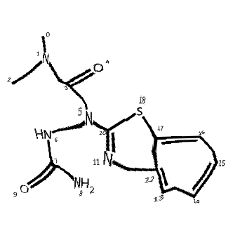 CN(C)C(=O)N(NC(N)=O)c1nc2ccccc2s1